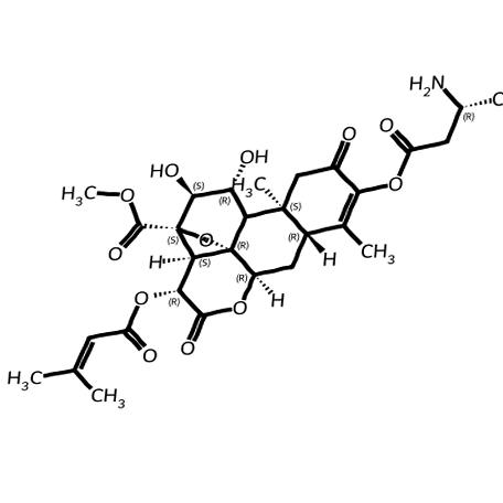 COC(=O)[C@@]12OC[C@]34C([C@@H](O)[C@@H]1O)[C@@]1(C)CC(=O)C(OC(=O)C[C@@H](C)N)=C(C)[C@@H]1C[C@H]3OC(=O)[C@H](OC(=O)C=C(C)C)[C@@H]24